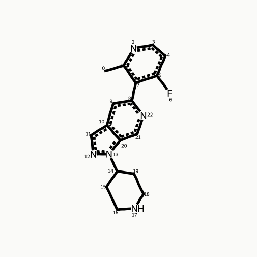 Cc1nccc(F)c1-c1cc2cnn(C3CCNCC3)c2cn1